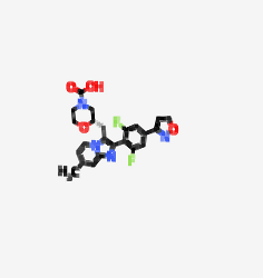 Cc1ccn2c(C[C@H]3CN(C(=O)O)CCO3)c(-c3c(F)cc(-c4ccon4)cc3F)nc2c1